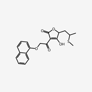 CSC(C)CC1OC(=O)C(C(=O)COc2cccc3ccccc23)=C1O